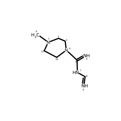 CN1CCN(C(=N)NC=N)CC1